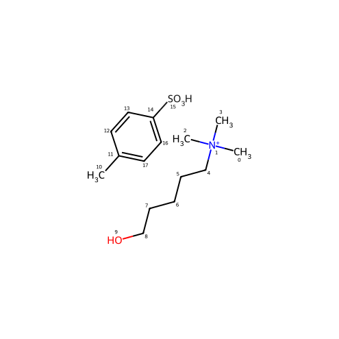 C[N+](C)(C)CCCCCO.Cc1ccc(S(=O)(=O)O)cc1